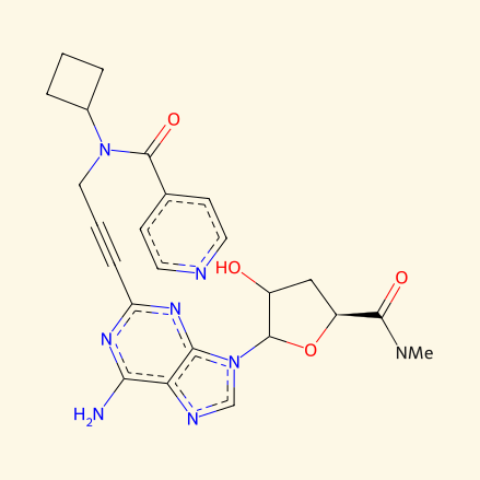 CNC(=O)[C@@H]1CC(O)C(n2cnc3c(N)nc(C#CCN(C(=O)c4ccncc4)C4CCC4)nc32)O1